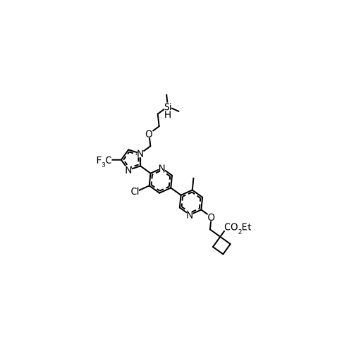 CCOC(=O)C1(COc2cc(C)c(-c3cnc(-c4nc(C(F)(F)F)cn4COCC[SiH](C)C)c(Cl)c3)cn2)CCC1